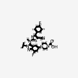 CC(C)n1nc2c(F)cc(N3CCN(C(=O)O)CC3)cc2c1N(C)c1nc(-c2ccc(F)cc2)c(C#N)s1